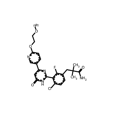 CCCOCCOc1ccc(-c2cc(=O)[nH]c(-c3c(Cl)ccc(CC(C)(C)C(N)=O)c3F)n2)cn1